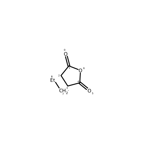 O=C1CCC(=O)O1.[CH2]CC